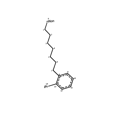 CCCCCCCCCCCCCCCCc1ccccc1C(C)C